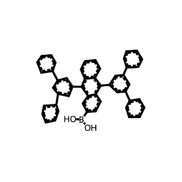 OB(O)c1ccc2c(-c3cc(-c4ccccc4)cc(-c4ccccc4)c3)c3ccccc3c(-c3cc(-c4ccccc4)cc(-c4ccccc4)c3)c2c1